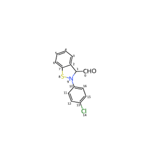 O=CC1c2ccccc2SN1c1ccc(Cl)cc1